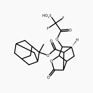 CC1(OC(=O)C2C3C(=O)OC4C3C[C@@H]2C4OC(=O)C(F)(F)S(=O)(=O)O)C2CC3CC(C2)CC1C3